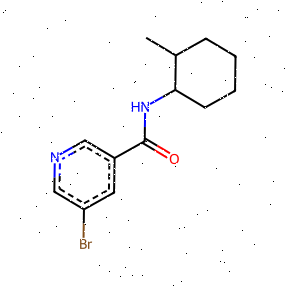 CC1CCCCC1NC(=O)c1cncc(Br)c1